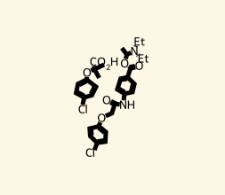 CC(C)(Oc1ccc(Cl)cc1)C(=O)O.CCN(CC)C(C)OC(=O)c1ccc(NC(=O)COc2ccc(Cl)cc2)cc1